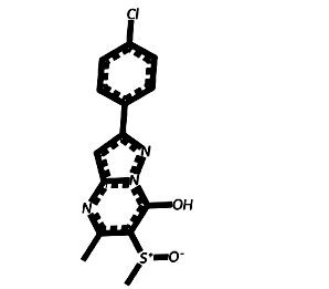 Cc1nc2cc(-c3ccc(Cl)cc3)nn2c(O)c1[S+](C)[O-]